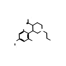 COc1cc(F)c(C2CN(CCF)CCC2C(=O)O)c(F)c1